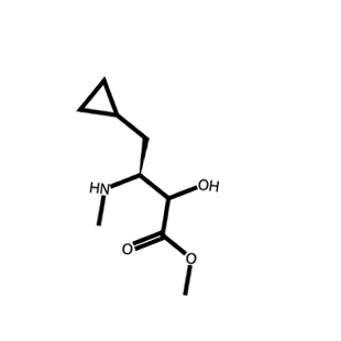 CN[C@@H](CC1CC1)C(O)C(=O)OC